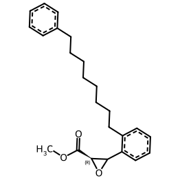 COC(=O)[C@@H]1OC1c1ccccc1CCCCCCCCc1ccccc1